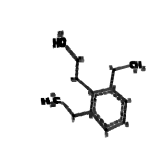 CCc1cccc(CC)c1CCO